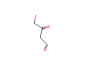 [O]CC(=O)CC=O